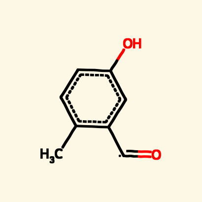 Cc1ccc(O)cc1[C]=O